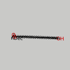 CCCCCCCCCCCC(=O)OCCCCCCCCCCCCCCCCCCCCCCCCCCCCCCCCCCCCCCCO